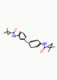 CC1(C)CC1C(=O)Nc1ccc(Cc2cccc(NC(=O)C3CC3(C)C)c2)cc1